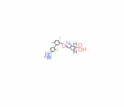 Cc1cc(F)c(COc2cc3c(cn2)[C@H]2[C@@H](C3)[C@@H]2C(=O)O)cc1-c1ccc(-c2nnn(C)n2)cc1F